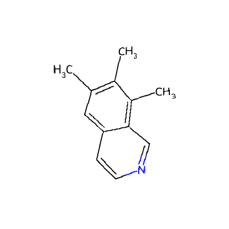 Cc1cc2ccncc2c(C)c1C